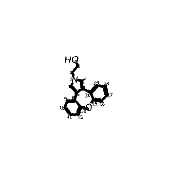 OCCn1cc2c(c1)-c1ccccc1Oc1ccccc1-2